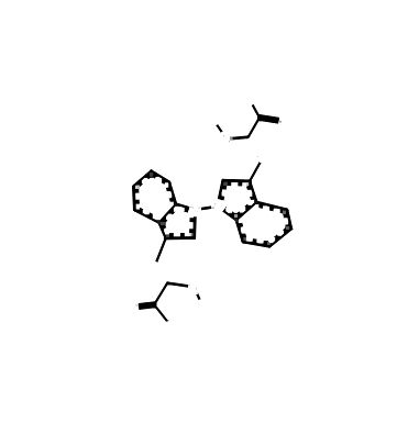 CC(C)N[C@@H](Cc1cn(-n2cc(C[C@H](NC(C)C)C(=O)C(C)C)c3ccccc32)c2ccccc12)C(=O)C(C)C